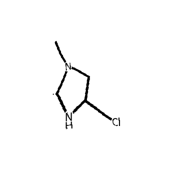 CN1[CH]NC(Cl)C1